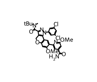 COc1cc(C(N)=O)cc(-c2cc3c(cc2OC)OCc2c(C(=O)N(C)C(C)(C)C)nn(-c4cc(Cl)cc(Cl)c4)c2-3)n1